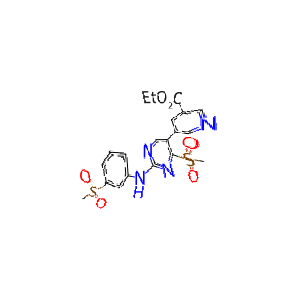 CCOC(=O)c1cncc(-c2cnc(Nc3cccc(S(C)(=O)=O)c3)nc2S(C)(=O)=O)c1